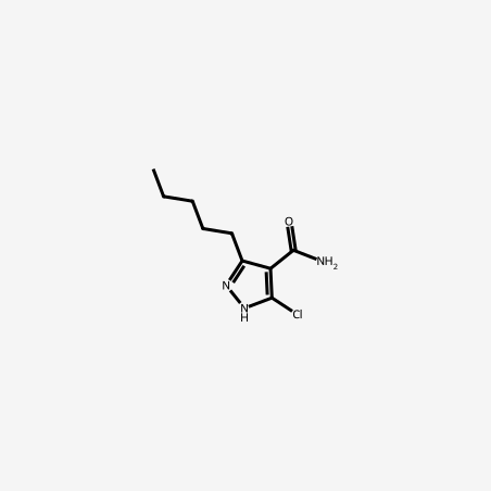 CCCCCc1n[nH]c(Cl)c1C(N)=O